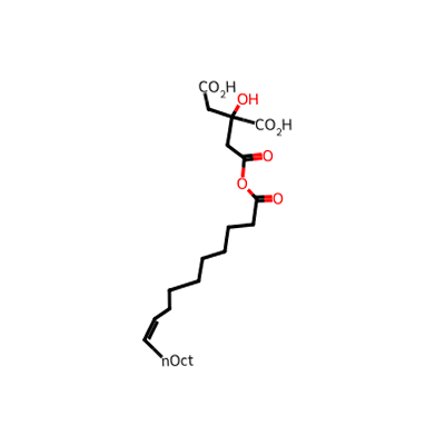 CCCCCCCC/C=C\CCCCCCCC(=O)OC(=O)CC(O)(CC(=O)O)C(=O)O